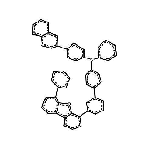 c1ccc(-c2cccc3c2oc2c(-c4cccc(-c5ccc(N(c6ccccc6)c6ccc(-c7ccc8ccccc8c7)cc6)cc5)c4)cccc23)cc1